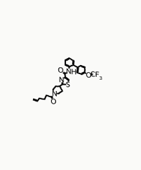 C=CCCCC(=O)N1CCC(c2nc(C(=O)Nc3ccccc3-c3ccc(OC(F)(F)F)cc3)cs2)CC1